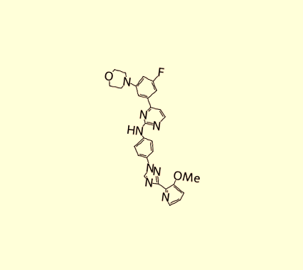 COc1cccnc1-c1ncn(-c2ccc(Nc3nccc(-c4cc(F)cc(N5CCOCC5)c4)n3)cc2)n1